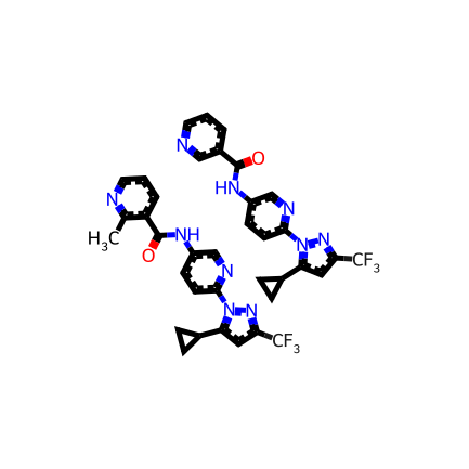 Cc1ncccc1C(=O)Nc1ccc(-n2nc(C(F)(F)F)cc2C2CC2)nc1.O=C(Nc1ccc(-n2nc(C(F)(F)F)cc2C2CC2)nc1)c1cccnc1